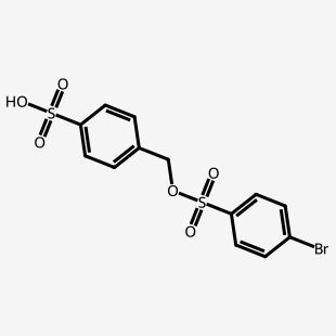 O=S(=O)(O)c1ccc(COS(=O)(=O)c2ccc(Br)cc2)cc1